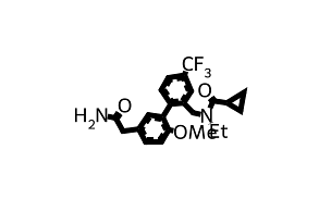 CCN(Cc1cc(C(F)(F)F)ccc1-c1cc(CC(N)=O)ccc1OC)C(=O)C1CC1